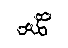 c1ccc(Cc2occ3cnccc23)c(Cc2occ3cnccc23)c1